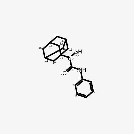 O=C(Nc1ccccc1)N(S)C12CC3CC(CC(C3)C1)C2